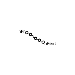 CCCCC[C@H]1CC[C@H](c2ccc(-c3ccc(CCc4ccc([C@H]5CC[C@H](CCC)CC5)cc4)cc3)cc2)CC1